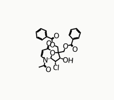 CC(=O)/C=C\N(C(C)=O)[C@@H]1OC(COC(=O)c2ccccc2)(COC(=O)c2ccccc2)[C@@H](O)[C@H]1Cl